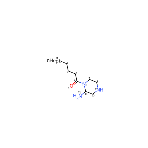 CCCCCCCCCCC(=O)N1CCNCC1N